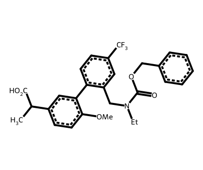 CCN(Cc1cc(C(F)(F)F)ccc1-c1cc(C(C)C(=O)O)ccc1OC)C(=O)OCc1ccccc1